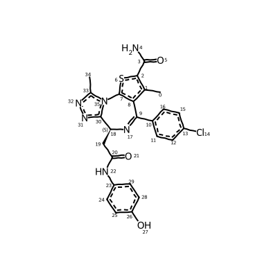 Cc1c(C(N)=O)sc2c1C(c1ccc(Cl)cc1)=N[C@@H](CC(=O)Nc1ccc(O)cc1)c1nnc(C)n1-2